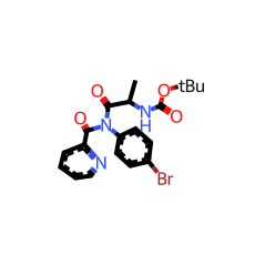 CC(NC(=O)OC(C)(C)C)C(=O)N(C(=O)c1ccccn1)c1ccc(Br)cc1